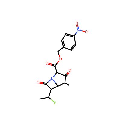 CC(F)C1C(=O)N2C(C(=O)OCc3ccc([N+](=O)[O-])cc3)C(=O)C(C)C12